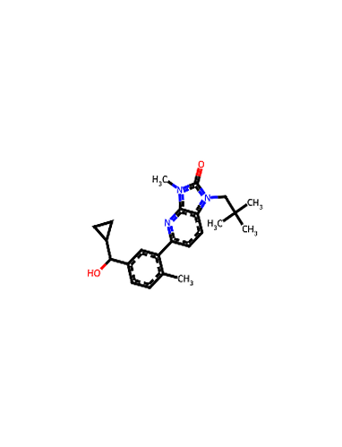 Cc1ccc(C(O)C2CC2)cc1-c1ccc2c(n1)n(C)c(=O)n2CC(C)(C)C